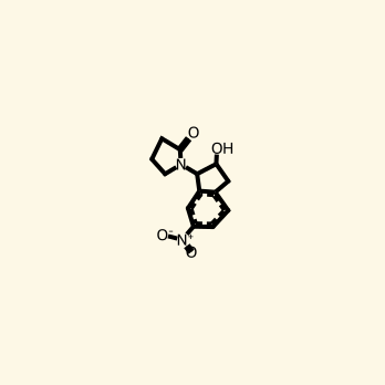 O=C1CCCN1C1c2cc([N+](=O)[O-])ccc2CC1O